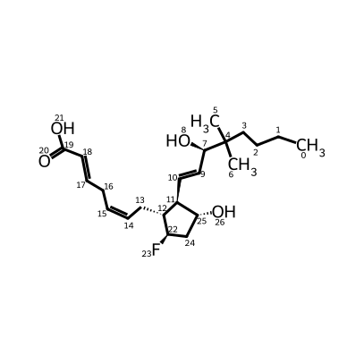 CCCCC(C)(C)[C@H](O)/C=C/[C@@H]1[C@@H](C/C=C\C/C=C/C(=O)O)[C@H](F)C[C@H]1O